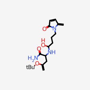 C=C(CC(NC(O)CCCN1C(=C)C=CC1=O)C(N)=O)OC(C)(C)C